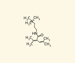 CC(C)=CC(C(=O)NCCC[N+](C)(C)C)=C(C)C